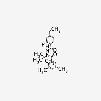 CCc1ccc(C(=O)NN(C(=O)c2cc(C)cc(C)c2)C(C)(C)C)c(F)c1